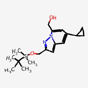 CC(C)(C)[Si](C)(C)OCc1cc2cc(C3CC3)cc(CO)n2n1